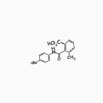 CCCCc1ccc(NC(=O)c2c(C)cccc2C(=O)O)cc1